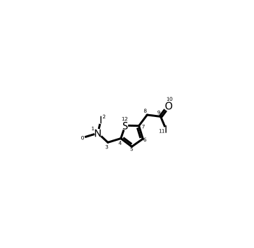 CN(I)Cc1ccc(CC(=O)I)s1